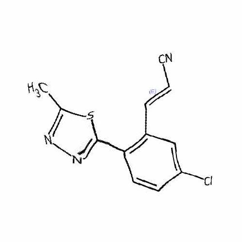 Cc1nnc(-c2ccc(Cl)cc2/C=C/C#N)s1